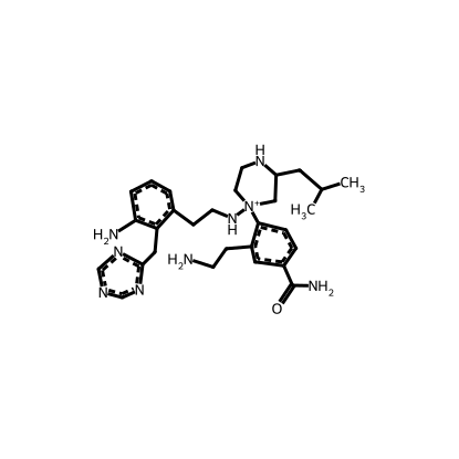 CC(C)CC1C[N+](NCCc2cccc(N)c2Cc2ncncn2)(c2ccc(C(N)=O)cc2CCN)CCN1